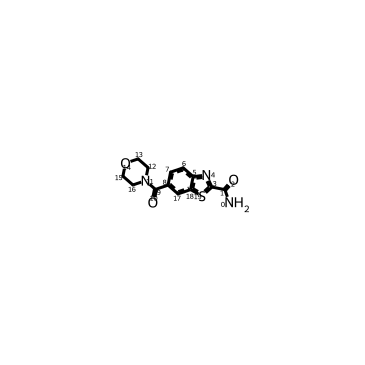 NC(=O)c1nc2ccc(C(=O)N3CCOCC3)cc2s1